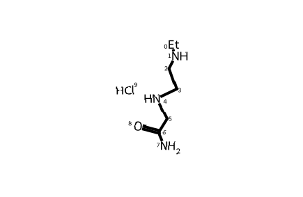 CCNCCNCC(N)=O.Cl